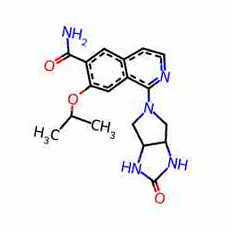 CC(C)Oc1cc2c(N3CC4NC(=O)NC4C3)nccc2cc1C(N)=O